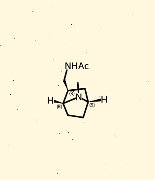 CC(=O)NC[C@H]1C[C@@H]2CC[C@H]1N2C